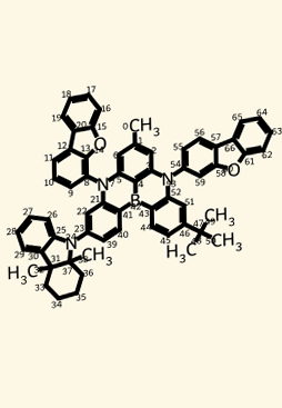 Cc1cc2c3c(c1)N(c1cccc4c1oc1ccccc14)c1cc(N4c5ccccc5C5(C)CCCCC45C)ccc1B3c1ccc(C(C)(C)C)cc1N2c1ccc2c(c1)oc1ccccc12